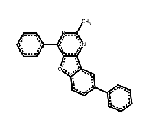 Cc1nc(-c2ccccc2)c2oc3ccc(-c4ccccc4)cc3c2n1